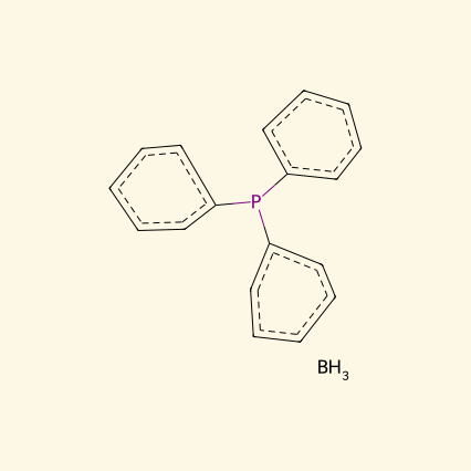 B.c1ccc(P(c2ccccc2)c2ccccc2)cc1